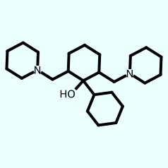 OC1(C2CCCCC2)C(CN2CCCCC2)CCCC1CN1CCCCC1